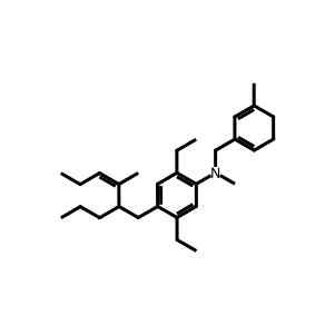 CC/C=C(/C)C(CCC)Cc1cc(CC)c(N(C)CC2=CCCC(C)=C2)cc1CC